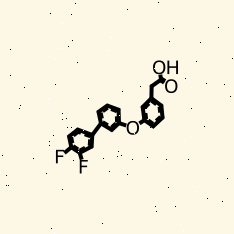 O=C(O)Cc1cccc(Oc2cccc(-c3ccc(F)c(F)c3)c2)c1